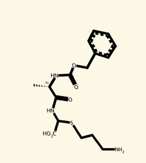 C[C@H](NC(=O)OCc1ccccc1)C(=O)NC(SCCCN)C(=O)O